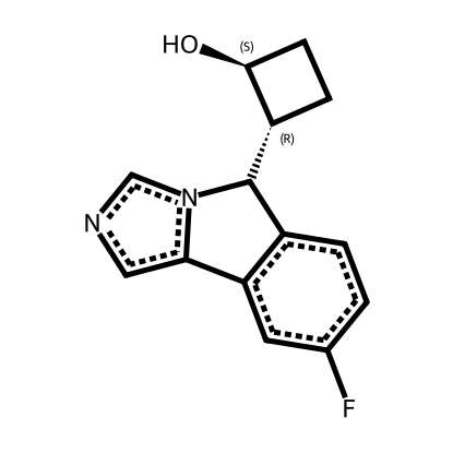 O[C@H]1CC[C@@H]1C1c2ccc(F)cc2-c2cncn21